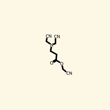 N#CCOC(=O)CCN(CC#N)CC#N